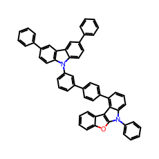 c1ccc(-c2ccc3c(c2)c2cc(-c4ccccc4)ccc2n3-c2cccc(-c3ccc(-c4cccc5c4c4c6ccccc6oc4n5-c4ccccc4)cc3)c2)cc1